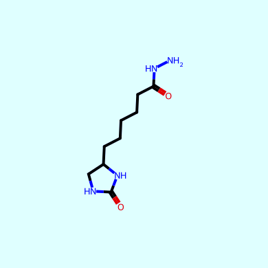 NNC(=O)CCCCCC1CNC(=O)N1